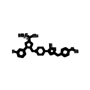 CCOc1ccc(Cc2cc(C3CCN(CC4CN([C@@H](C(=O)O)C(C)(C)C)CC4c4cccc(F)c4)CC3)[nH]n2)cc1